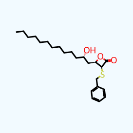 CCCCCCCCCCC[C@H](O)C[C@H]1OC(=O)[C@H]1SCc1ccccc1